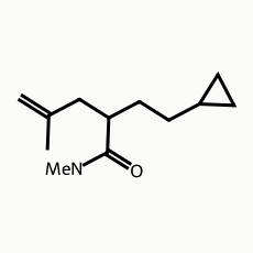 C=C(C)CC(CCC1CC1)C(=O)NC